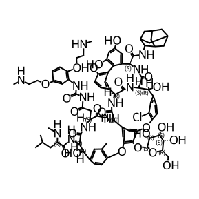 CNCCOc1ccc(OCCNC)c(NC(=O)NC(=O)C[C@@H]2NC(=O)[C@H](NC(=O)[C@@H](CC(C)C)NC)[C@H](O)c3ccc(c(C)c3)Oc3cc4cc(c3O[C@@H]3O[C@H](CO)[C@@H](O)[C@H](O)[C@H]3O)Oc3ccc(cc3Cl)[C@@H](O)[C@@H]3NC(=O)[C@H](NC(=O)[C@@H]4NC2=O)c2ccc(O)c(c2)-c2c(O)cc(O)cc2[C@@H](C(=O)NC2C4CC5CC(C4)CC2C5)NC3=O)c1